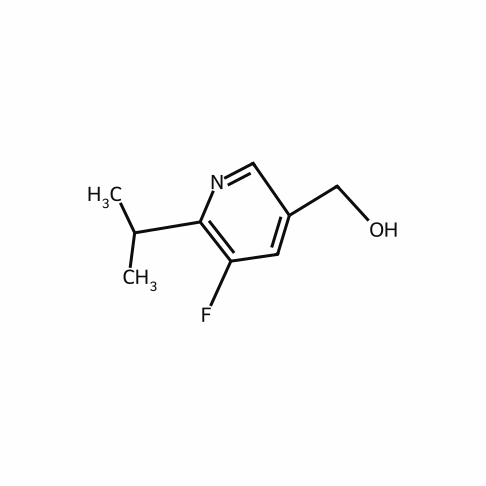 CC(C)c1ncc(CO)cc1F